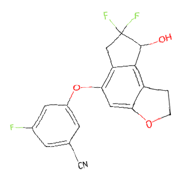 N#Cc1cc(F)cc(Oc2cc3c(c4c2CC(F)(F)C4O)CCO3)c1